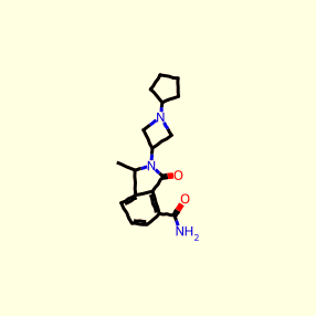 CC1c2cccc(C(N)=O)c2C(=O)N1C1CN(C2CCCC2)C1